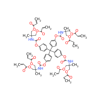 C=CC(=O)OCC(C)(COC(=O)C=C)NC(=O)Oc1ccc(C(c2ccc(OC(=O)NC(C)(COC(=O)C=C)COC(=O)C=C)cc2)(c2ccc(OC(=O)NC(C)(COC(=O)C=C)COC(=O)C=C)cc2)c2ccc(OC(=O)NC(C)(COC(=O)C=C)COC(=O)C=C)cc2)cc1